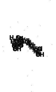 Cc1nc(CC2CCN(c3ccc(-c4ccc(CO)c(Cl)c4)cc3)CC2)nc(C(=O)NCC(=O)O)c1O